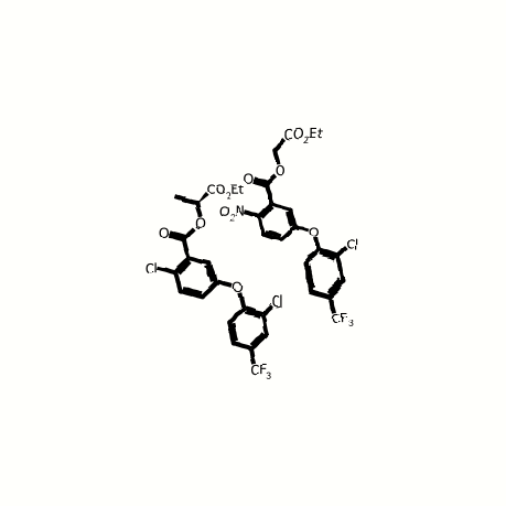 CCOC(=O)COC(=O)c1cc(Oc2ccc(C(F)(F)F)cc2Cl)ccc1[N+](=O)[O-].CCOC(=O)[C@H](C)OC(=O)c1cc(Oc2ccc(C(F)(F)F)cc2Cl)ccc1Cl